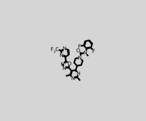 Cc1nc(C)c(-c2nnc(-c3ccnc(C(F)(F)F)n3)o2)c(C2CCN(C(=O)N(C)c3c(F)cccc3F)CC2)n1